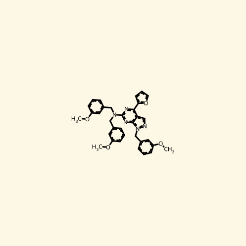 COc1cccc(CN(Cc2cccc(OC)c2)c2nc(-c3ccco3)c3cnn(Cc4cccc(OC)c4)c3n2)c1